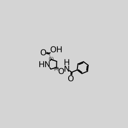 O=C(NO[C@H]1CN[C@H](C(=O)O)C1)c1ccccc1